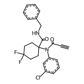 C#CC(=O)N(c1cccc(Cl)c1)C1(C(=O)NCc2ccccc2)CCC(F)(F)CC1